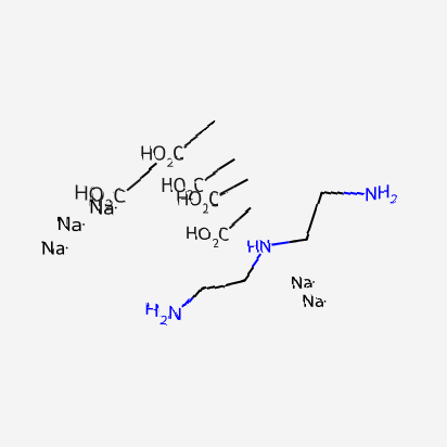 CC(=O)O.CC(=O)O.CC(=O)O.CC(=O)O.CC(=O)O.NCCNCCN.[Na].[Na].[Na].[Na].[Na]